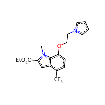 CCOC(=O)c1cc2c(C(F)(F)F)ccc(OCCn3cccc3)c2n1C